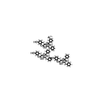 O=C(N[C@@H](Cc1ccccc1)C(=O)N[C@@H](Cc1ccc(O)cc1)C(=O)[O-])c1ccccc1.O=C(N[C@@H](Cc1ccccc1)C(=O)N[C@@H](Cc1ccc(O)cc1)C(=O)[O-])c1ccccc1.O=C(N[C@@H](Cc1ccccc1)C(=O)N[C@@H](Cc1ccc(O)cc1)C(=O)[O-])c1ccccc1.[Al+3]